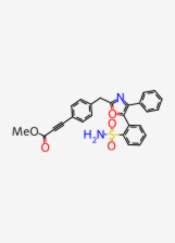 COC(=O)C#Cc1ccc(Cc2nc(-c3ccccc3)c(-c3ccccc3S(N)(=O)=O)o2)cc1